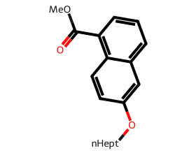 CCCCCCCOc1ccc2c(C(=O)OC)cccc2c1